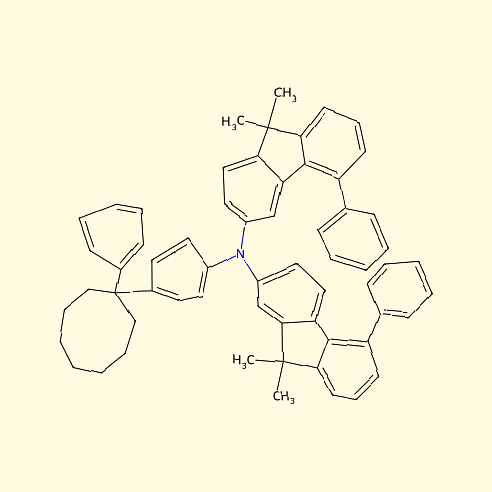 CC1(C)c2ccc(N(c3ccc(C4(c5ccccc5)CCCCCCC4)cc3)c3ccc4c(c3)C(C)(C)c3cccc(-c5ccccc5)c3-4)cc2-c2c(-c3ccccc3)cccc21